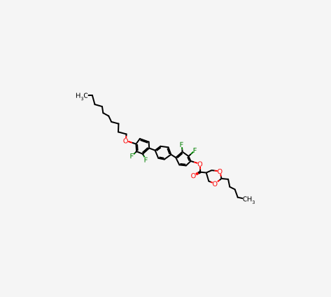 CCCCCCCCCCOc1ccc(-c2ccc(-c3ccc(OC(=O)C4COC(CCCCC)OC4)c(F)c3F)cc2)c(F)c1F